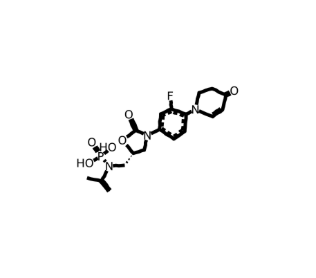 C=C(C)N(C[C@H]1CN(c2ccc(N3C=CC(=O)CC3)c(F)c2)C(=O)O1)P(=O)(O)O